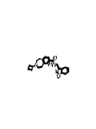 Cn1nc(CNC(=O)c2ccc3c(c2)CCN(C2=CC=C2)CC3)c2ccccc21